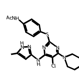 CC(=O)Nc1ccc(Sc2nc(Nc3cc(C)[nH]n3)c(Cl)c(N3CCCCC3)n2)cc1